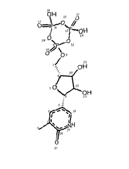 Cc1cc([C@@H]2O[C@H](COP3(=O)OP(=O)(O)OP(=O)(O)O3)C(O)C2O)c[nH]c1=O